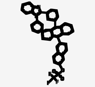 O=S(=O)(Oc1ccc2cc(-c3c4ccccc4c(-c4cccc(-c5nc6ccccc6n5-c5ccccc5)c4)c4ccccc34)ccc2c1)C(F)(F)F